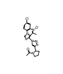 CC(=O)N1CCCC1c1cn(-c2ncn3c2c(C)[n+]([O-])c2cc(Cl)ccc23)nn1